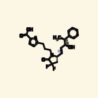 C[C@@H](c1ccccc1)[C@@H](O)/C=C/C1CC(F)(F)C(=O)N1CCCc1ccc(C(=O)O)s1